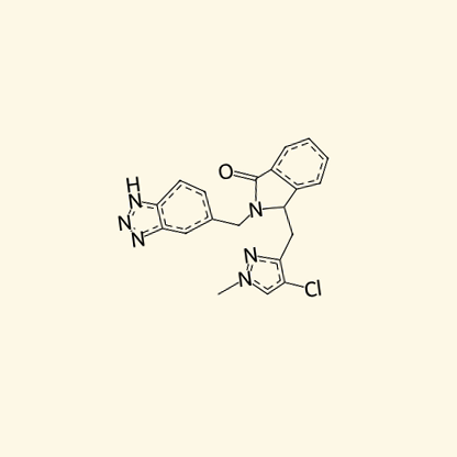 Cn1cc(Cl)c(CC2c3ccccc3C(=O)N2Cc2ccc3[nH]nnc3c2)n1